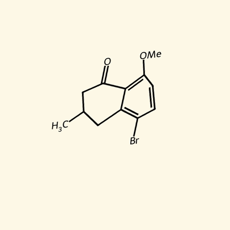 COc1ccc(Br)c2c1C(=O)CC(C)C2